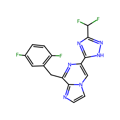 Fc1ccc(F)c(Cc2nc(-c3nc(C(F)F)n[nH]3)cn3ccnc23)c1